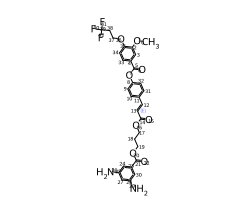 COc1cc(C(=O)Oc2ccc(/C=C/C(=O)OCCCOC(=O)c3cc(N)cc(N)c3)cc2)ccc1OCCC(F)(F)F